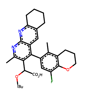 Cc1nc2nc3c(cc2c(-c2cc(F)c4c(c2C)CCCO4)c1C(OC(C)(C)C)C(=O)O)CCCC3